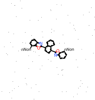 CCCCCCCCCc1cccc2nc(-c3ccc(-c4nc5cccc(CCCCCCCCC)c5o4)c4ccccc34)oc12